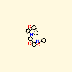 C1=CCCC(N(c2ccc3oc4ccc5oc(-c6ccccc6)nc5c4c3c2)c2cccc3oc4ccccc4c23)=C1